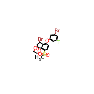 CS(=O)(=O)c1ccc(Oc2cc(F)cc(Br)c2)c2c1C1(CC2Br)OCCO1